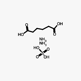 N.N.O=C(O)CCCCC(=O)O.O=S(=O)(O)O